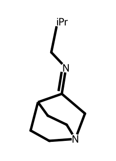 CC(C)C/N=C1/CN2CCC1CC2